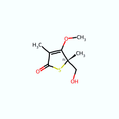 COC1=C(C)C(=O)S[C@@]1(C)CO